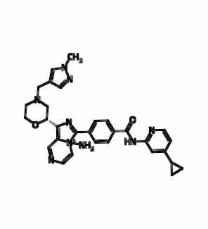 Cn1cc(CN2CCO[C@@H](C3=C4C=NC=C[N+]4(N)C(c4ccc(C(=O)Nc5cc(C6CC6)ccn5)cc4)=N3)C2)cn1